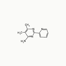 Cc1nc(-c2ccccn2)nc(N)c1C